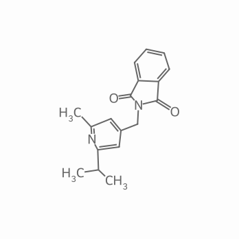 Cc1cc(CN2C(=O)c3ccccc3C2=O)cc(C(C)C)n1